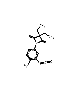 CCC1(CC)C(=O)N(c2ccc(C)c(N=C=O)c2)C1=O